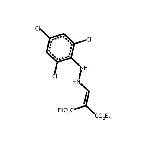 CCOC(=O)C(=CNNc1c(Cl)cc(Cl)cc1Cl)C(=O)OCC